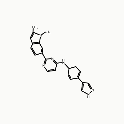 Cc1cc2ccc(-c3nccc(NC4C=CC(c5cn[nH]c5)=CC4)n3)cc2n1C